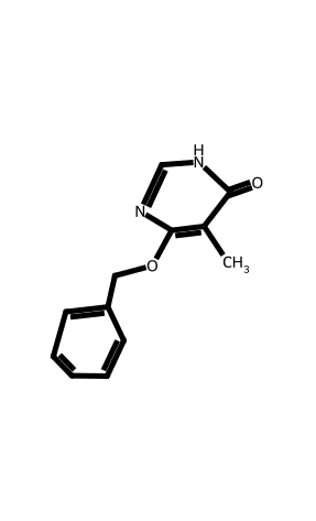 Cc1c(OCc2ccccc2)nc[nH]c1=O